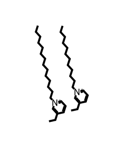 CCCCCCCCCCCCCC[n+]1cccc(CC)c1.CCCCCCCCCCCC[n+]1cccc(CC)c1